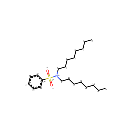 CCCCCCCCN(CCCCCCCC)S(=O)(=O)c1[c]cccc1